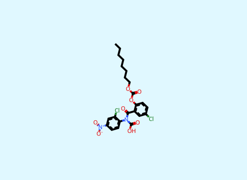 CCCCCCCCOC(=O)Oc1ccc(Cl)cc1C(=O)N(C(=O)O)c1ccc([N+](=O)[O-])cc1Cl